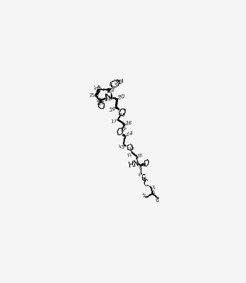 CC(C)CCCCC(=O)NCCOCCOCCOCCN1C(=O)C=CC1=O